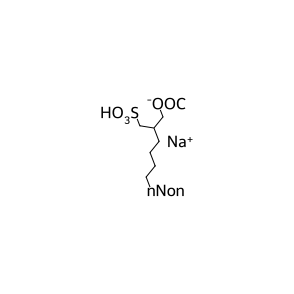 CCCCCCCCCCCCCC(CC(=O)[O-])CS(=O)(=O)O.[Na+]